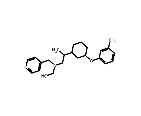 Cc1cccc(O[C@@H]2CCCC(C(C)CN(CC#N)Cc3ccncc3)C2)c1